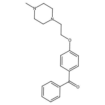 CN1CCN(CCOc2ccc(C(=O)c3ccccc3)cc2)CC1